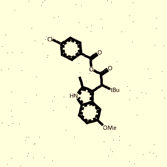 COc1ccc2[nH]c(C)c(C(C(=O)OC(=O)c3ccc(Cl)cc3)C(C)(C)C)c2c1